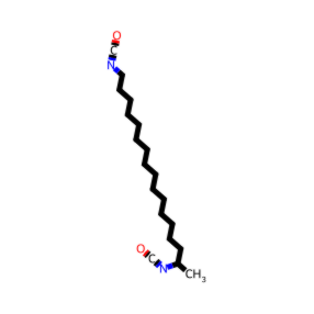 CC(CCCCCCCCCCCCCCCN=C=O)N=C=O